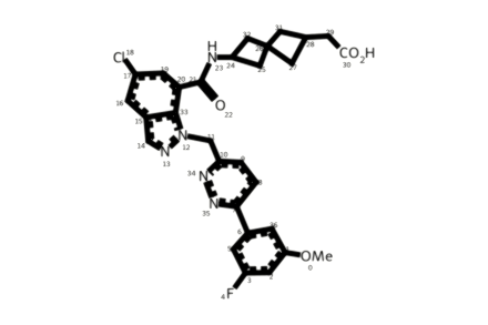 COc1cc(F)cc(-c2ccc(Cn3ncc4cc(Cl)cc(C(=O)NC5CC6(CC(CC(=O)O)C6)C5)c43)nn2)c1